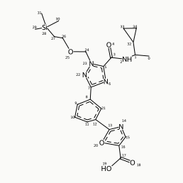 CC(NC(=O)c1nc(-c2cccc(-c3ncc(C(=O)O)o3)c2)nn1COCC[Si](C)(C)C)C1CC1